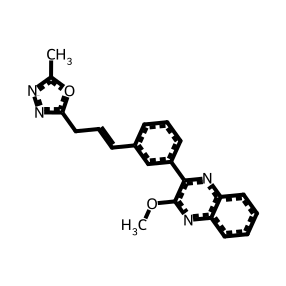 COc1nc2ccccc2nc1-c1cccc(/C=C/Cc2nnc(C)o2)c1